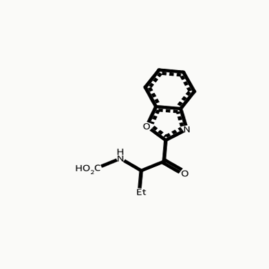 CCC(NC(=O)O)C(=O)c1nc2ccccc2o1